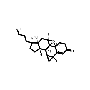 C[C@]12CCC(=O)C=C1[C@@H]1CC1[C@H]1[C@@H]3CC[C@@](O)(CCCO)[C@@]3(C)C[C@H]3O[C@]312